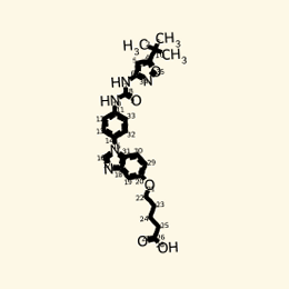 CC(C)(C)c1cc(NC(=O)Nc2ccc(-n3cnc4cc(OCCCCC(=O)O)ccc43)cc2)no1